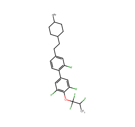 CCCC1CCC(CCc2ccc(-c3cc(F)c(OC(F)(F)C(F)C(F)(F)F)c(F)c3)c(F)c2)CC1